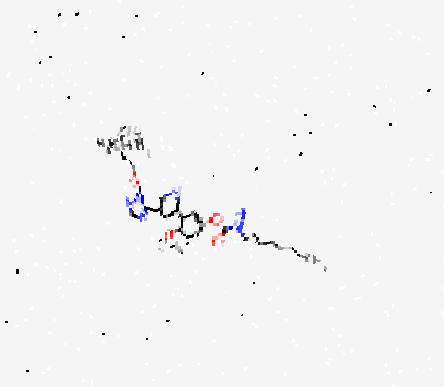 CCCCCCCCNC(=O)Oc1ccc(OC)c(-c2cncc(-c3ncnn3COCC[Si](C)(C)C)c2)c1